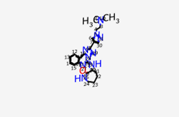 CN(C)CCn1cc(-c2nc3c4ccccc4nc(N[C@@H]4CCCCNC4=O)n3n2)cn1